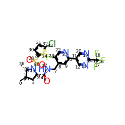 C[C@@H]1C[C@@H](C(=O)NCc2cc(-c3cnc(C(F)(F)F)nc3)ncc2F)N(S(=O)(=O)c2ccc(Cl)s2)[C@H]1C